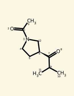 CC(=O)N1CC[C@H](C(=O)C(C)C)C1